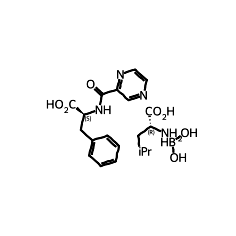 CC(C)C[C@@H](N)C(=O)O.O=C(N[C@@H](Cc1ccccc1)C(=O)O)c1cnccn1.OBO